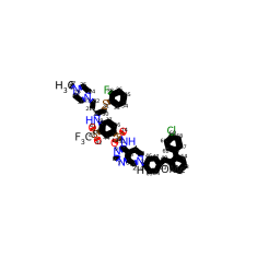 [2H]C1(N2CCc3c(ncnc3NS(=O)(=O)c3ccc(N[C@H](CCN4CCN(C)CC4)CSc4ccccc4F)c(S(=O)(=O)C(F)(F)F)c3)C2)CCC(Cc2ccccc2-c2ccc(Cl)cc2)(OC)CC1